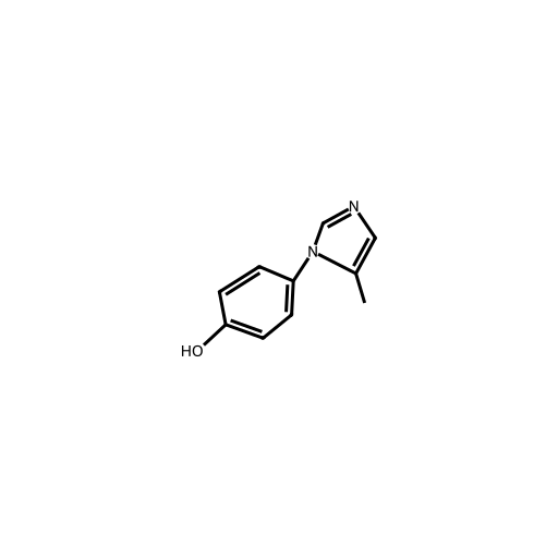 Cc1cncn1-c1ccc(O)cc1